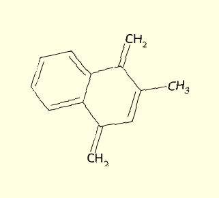 C=c1cc(C)c(=C)c2ccccc12